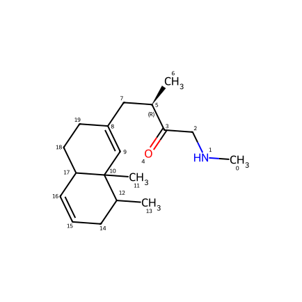 CNCC(=O)[C@H](C)CC1=CC2(C)C(C)CC=CC2CC1